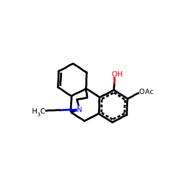 CC(=O)Oc1ccc2c(c1O)C13CCC=CC1C(C2)N(C)CC3